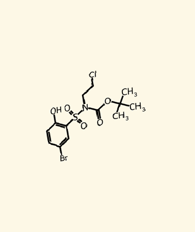 CC(C)(C)OC(=O)N(CCCl)S(=O)(=O)c1cc(Br)ccc1O